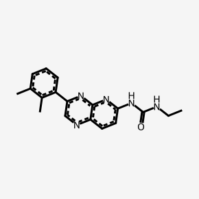 CCNC(=O)Nc1ccc2ncc(-c3cccc(C)c3C)nc2n1